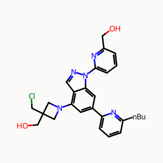 CCCCc1cccc(-c2cc(N3CC(CO)(CCl)C3)c3cnn(-c4cccc(CO)n4)c3c2)n1